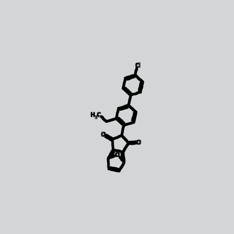 CCc1cc(-c2ccc(Cl)cc2)ccc1C1C(=O)c2c(c3ccc2o3)C1=O